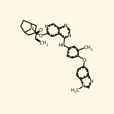 C=CC(=O)N1C2CCC1CC(Oc1cc3c(Nc4ccc(Oc5ccc6c(c5)ncn6C)c(C)c4)ncnc3cn1)C2